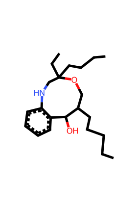 CCCCCC1COC(CC)(CCCC)CNc2ccccc2C1O